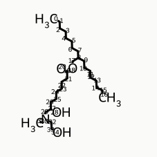 CCCCCCCCC(CCCCCCCC)COC(=O)CCCCCC[C@H](O)CN(C)CCO